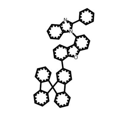 c1ccc(-c2nc3ccccc3n2-c2cccc3oc4c(-c5ccc6c(c5)C5(c7ccccc7-c7ccccc75)c5ccccc5-6)cccc4c23)cc1